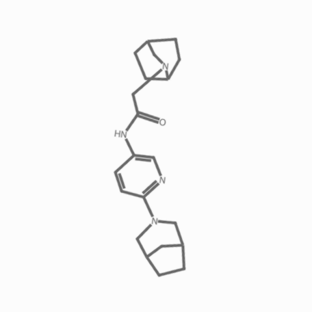 O=C(CN1CC2CCC1CC2)Nc1ccc(N2CC3CCC(C3)C2)nc1